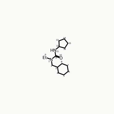 [CH2]CN(CC1CCCCC1)C(=O)NC1CCCC1